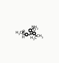 CC(=O)Nc1ccc(Cn2c3cc(C(C)C)c[c]c3c3c(C(N)=O)cccc32)cc1